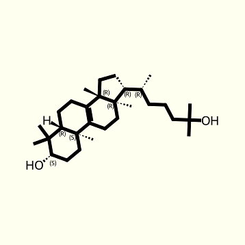 C[C@H](CCCC(C)(C)O)[C@H]1CC[C@@]2(C)C3=C(CC[C@]12C)[C@@]1(C)CC[C@H](O)C(C)(C)[C@@H]1CC3